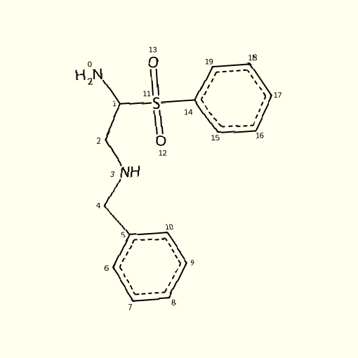 NC(CNCc1ccccc1)S(=O)(=O)c1ccccc1